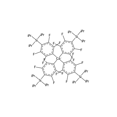 CC(C)[Si](c1c(F)c(F)[c]([Ga-]([c]2c(F)c(F)c([Si](C(C)C)(C(C)C)C(C)C)c(F)c2F)([c]2c(F)c(F)c([Si](C(C)C)(C(C)C)C(C)C)c(F)c2F)[c]2c(F)c(F)c([Si](C(C)C)(C(C)C)C(C)C)c(F)c2F)c(F)c1F)(C(C)C)C(C)C